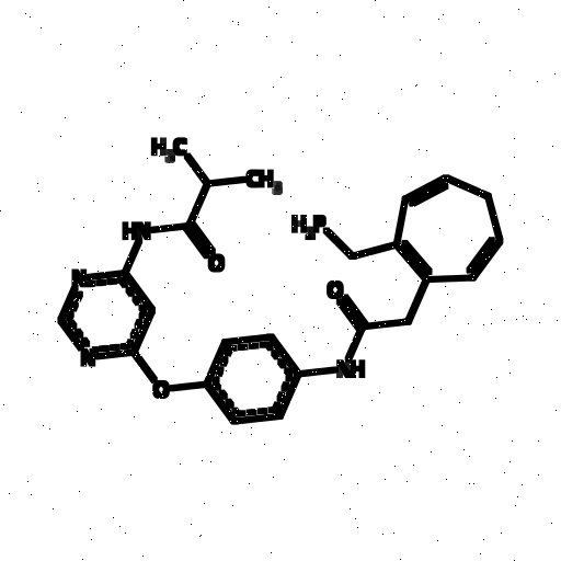 CC(C)C(=O)Nc1cc(Oc2ccc(NC(=O)CC3=C(CP)C=CCC=C3)cc2)ncn1